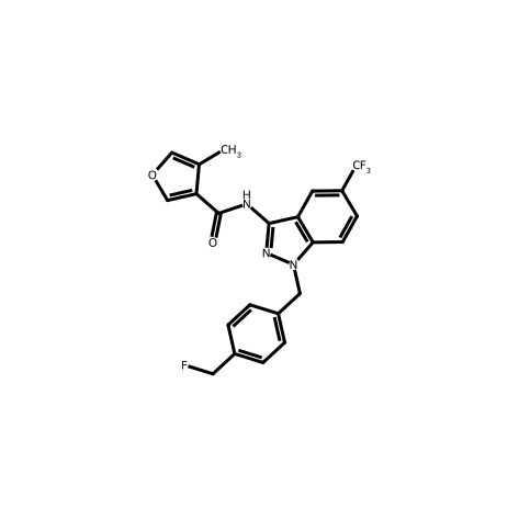 Cc1cocc1C(=O)Nc1nn(Cc2ccc(CF)cc2)c2ccc(C(F)(F)F)cc12